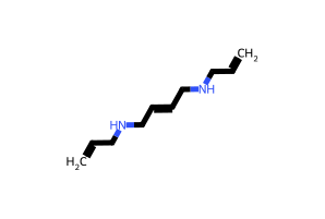 C=CCNC/C=C/CNCC=C